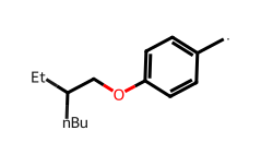 [CH2]c1ccc(OCC(CC)CCCC)cc1